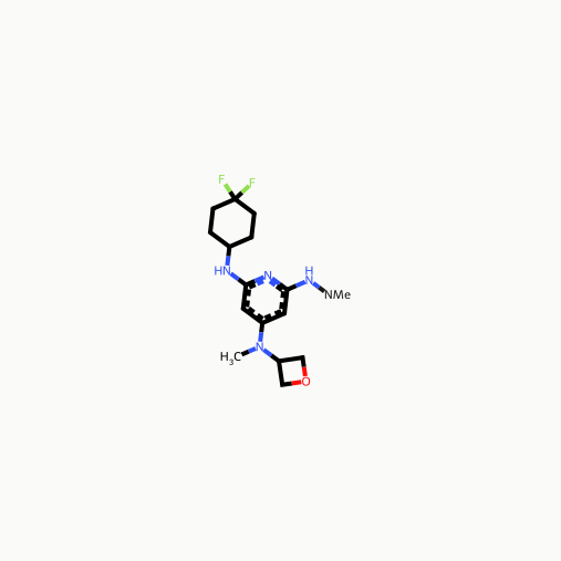 CNNc1cc(N(C)C2COC2)cc(NC2CCC(F)(F)CC2)n1